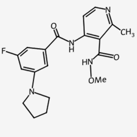 CONC(=O)c1c(NC(=O)c2cc(F)cc(N3CCCC3)c2)ccnc1C